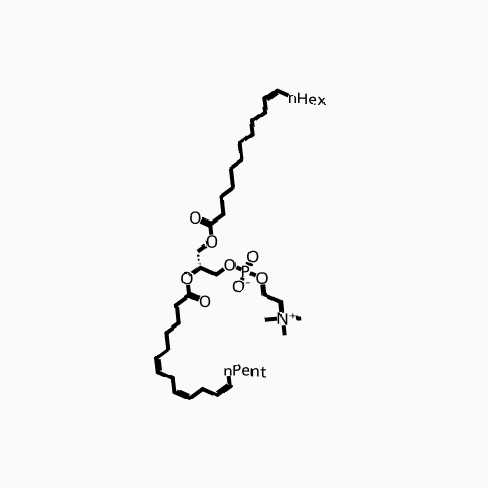 CCCCC/C=C\C/C=C\C/C=C\CCCCC(=O)O[C@H](COC(=O)CCCCCCCCC/C=C\CCCCCC)COP(=O)([O-])OCC[N+](C)(C)C